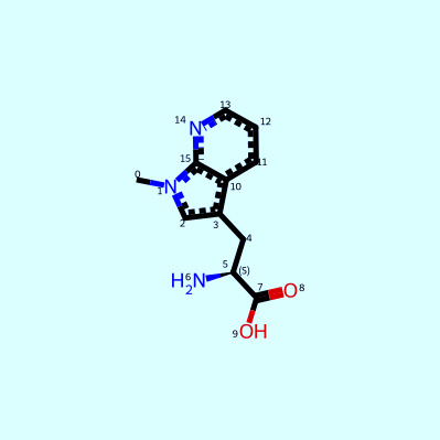 Cn1cc(C[C@H](N)C(=O)O)c2cccnc21